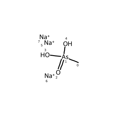 C[As](=O)(O)O.[Na+].[Na+].[Na+]